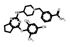 Cc1cc(C#N)cc(C)c1Oc1nc(NC2CCN(Cc3cccc(C(N)=O)c3)CC2)nc2c1CCC2